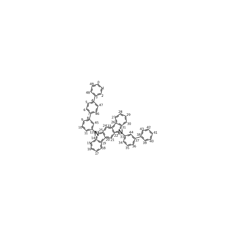 c1ccc(-c2ccc(-c3cccc(-n4c5ccccc5c5cc6c(cc54)c4ccccc4n6-c4cccc(-c5ccccc5)c4)c3)cc2)cc1